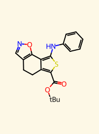 CC(C)(C)OC(=O)c1sc(Nc2ccccc2)c2c1CCc1cnoc1-2